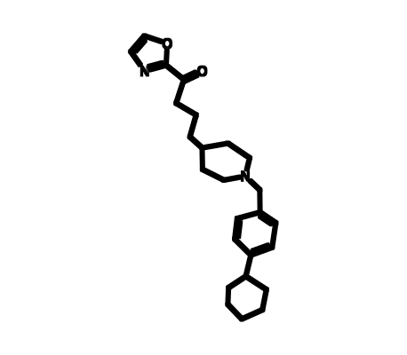 O=C(CCCC1CCN(Cc2ccc(C3CCCCC3)cc2)CC1)c1ncco1